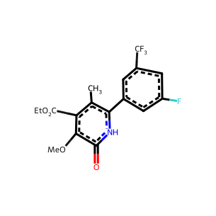 CCOC(=O)c1c(C)c(-c2cc(F)cc(C(F)(F)F)c2)[nH]c(=O)c1OC